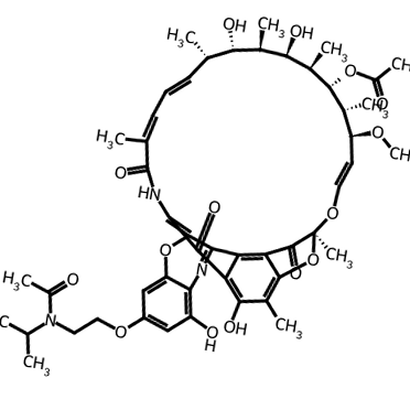 CO[C@H]1/C=C/O[C@@]2(C)Oc3c(C)c(O)c4c(=O)c(c5oc6cc(OCCN(C(C)=O)C(C)C)cc(O)c6nc-5c4c3C2=O)NC(=O)/C(C)=C\C=C\[C@H](C)[C@H](O)[C@@H](C)[C@@H](O)[C@@H](C)[C@H](OC(C)=O)[C@@H]1C